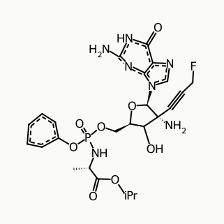 CC(C)OC(=O)[C@H](C)NP(=O)(OC[C@H]1O[C@@H](n2cnc3c(=O)[nH]c(N)nc32)[C@@](N)(C#CCF)C1O)Oc1ccccc1